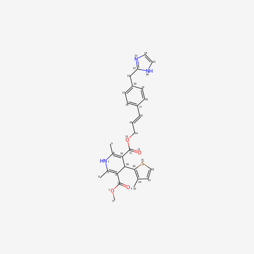 COC(=O)C1=C(C)NC(C)=C(C(=O)OCC=Cc2ccc(Cc3ncc[nH]3)cc2)C1c1sccc1C